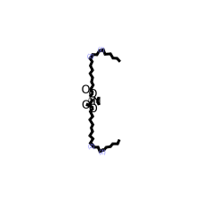 CCCCC/C=C\C/C=C\CCCCCCCCOC(=O)[C@H](COC(=O)CCCCCCC/C=C\C/C=C\CCCCC)N(C)C